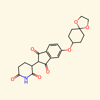 O=C1CCC(C2C(=O)c3ccc(OC4CCC5(CC4)OCCO5)cc3C2=O)C(=O)N1